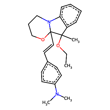 CCOC1(C)c2ccccc2N2CCCOC21/C=C/c1ccc(N(C)C)cc1